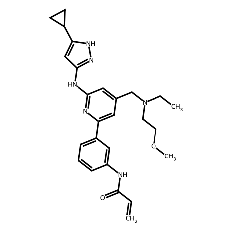 C=CC(=O)Nc1cccc(-c2cc(CN(CC)CCOC)cc(Nc3cc(C4CC4)[nH]n3)n2)c1